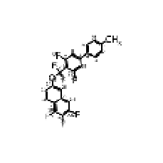 Cc1ccc(-c2cc(F)c(C(F)(F)Oc3ccc4c(F)c(F)c(F)cc4c3)c(F)c2)cc1